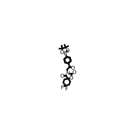 CC1(C)OB(c2ccc(C(=O)CN3C(=O)OC4(CCC(F)(F)CC4)C3=O)cc2)OC1(C)C